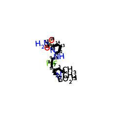 CC1(C)C[C@@H](CC(F)(F)CNc2cccc(S(N)(=O)=O)n2)CN1C(=O)O